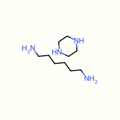 C1CNCCN1.NCCCCCCN